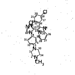 CN1CCN(c2ccc(-n3cnnc3-c3c(-c4cc(Cl)ccc4Cl)nc4ccccn34)cc2)CC1